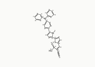 Cn1c(-c2ccc(N(c3ccccc3)c3ccccc3)cc2)ccc1-c1ccc(C=C(C#N)C(=O)O)s1